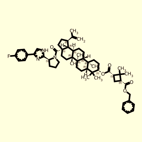 C=C(C)[C@@H]1CC[C@]2(C(=O)N3CCC[C@H]3c3nc(-c4ccc(F)cc4)c[nH]3)CC[C@]3(C)[C@H](CC[C@@H]4[C@@]5(C)CC[C@H](OC(=O)[C@H]6C[C@@H](C(=O)OCc7ccccc7)C6(C)C)C(C)(C)[C@@H]5CC[C@]43C)[C@@H]12